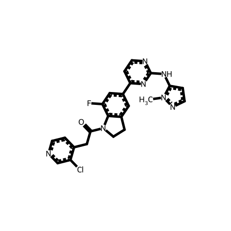 Cn1nccc1Nc1nccc(-c2cc(F)c3c(c2)CCN3C(=O)Cc2ccncc2Cl)n1